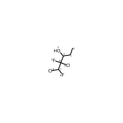 CCC(O)C(F)(Cl)C(F)Cl